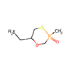 BCC1CSP(C)(=O)CO1